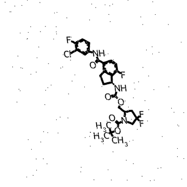 CC(C)(C)OC(=O)N1CC(F)(F)CC1COC(=O)N[C@H]1CCc2c(C(=O)Nc3ccc(F)c(Cl)c3)ccc(F)c21